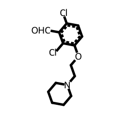 O=Cc1c(Cl)ccc(OCCN2CCCCC2)c1Cl